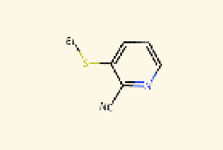 CCSc1cccnc1C#N